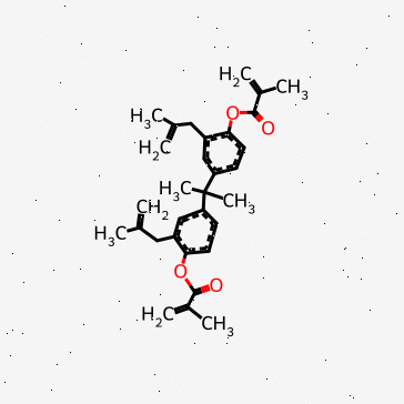 C=C(C)Cc1cc(C(C)(C)c2ccc(OC(=O)C(=C)C)c(CC(=C)C)c2)ccc1OC(=O)C(=C)C